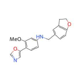 COc1cc(NCc2ccc3c(c2)CCO3)ccc1-c1cnco1